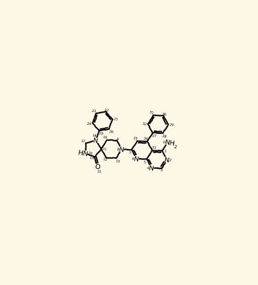 Nc1ncnc2nc(N3CCC4(CC3)C(=O)NCN4c3ccccc3)cc(-c3ccccc3)c12